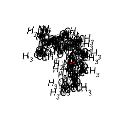 CC(C)N1C[C@@H](COP(=O)(N(C)C)N2C[C@@H](COP(=O)(N(C)C)N3C[C@@H](COP(=O)(N(C)C)N4C[C@@H](COP(=O)(N(C)C)N5C[C@@H](COP(=O)(N(C)C)N6C[C@@H](COP(=O)(N(C)C)N7C[C@@H](COP(=O)(C(C)C)N(C)C)O[C@@H](n8cnc9c(N)ncnc98)C7)O[C@@H](n7cnc8c(=O)[nH]c(N)nc87)C6)O[C@@H](C)C5)O[C@@H](n5cnc6c(N)ncnc65)C4)O[C@@H](n4cnc5c(N)ncnc54)C3)O[C@@H](C)C2)O[C@@H](C)C1